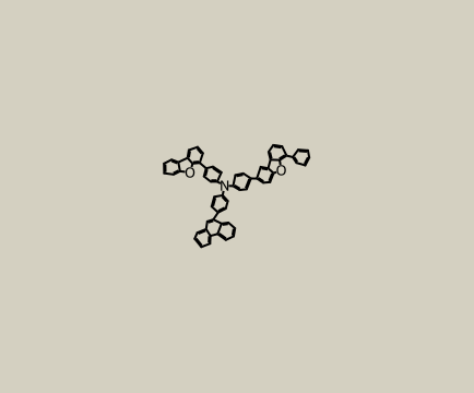 c1ccc(-c2cccc3c2oc2ccc(-c4ccc(N(c5ccc(-c6cc7ccccc7c7ccccc67)cc5)c5ccc(-c6cccc7c6oc6ccccc67)cc5)cc4)cc23)cc1